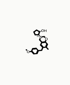 COc1ccc(Cc2cc3c(cc2C)OCN([C@H]2CCC[C@@H]2O)C3)cc1